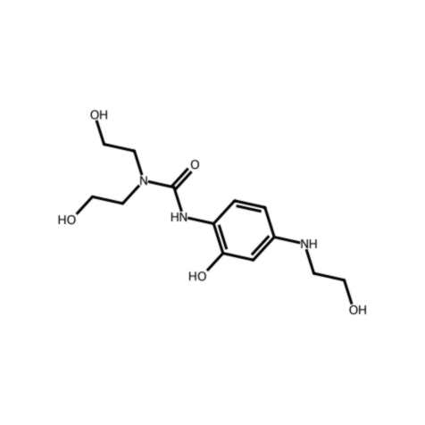 O=C(Nc1ccc(NCCO)cc1O)N(CCO)CCO